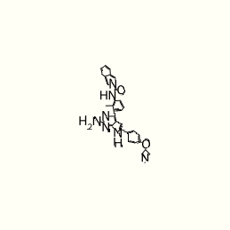 Cc1c(NC(=O)n2cc3ccccc3c2)cccc1-c1nc(N)nc2[nH]c(-c3ccc(OC4CN(C)C4)cc3)cc12